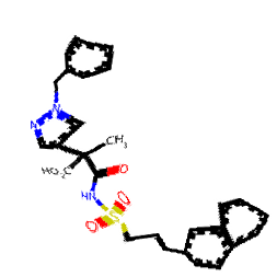 CC(C(=O)O)(C(=O)NS(=O)(=O)CC=Cc1ccc2ccccc2c1)c1cnn(Cc2ccccc2)c1